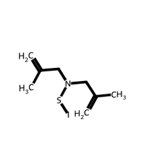 C=C(C)CN(CC(=C)C)SI